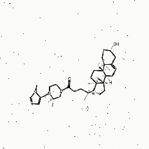 C[C@H](CCC(=O)N1CCN(c2cncn2C)[C@@H](C)C1)[C@H]1CC[C@H]2[C@@H]3CC=C4C[C@@H](O)CC[C@]4(C)[C@H]3CC[C@]12C